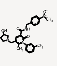 Cc1c(CN2CCC(O)C2)cc(C(=O)NCc2ccc([S+](C)[O-])cc2)c(=O)n1-c1cccc(C(F)(F)F)c1